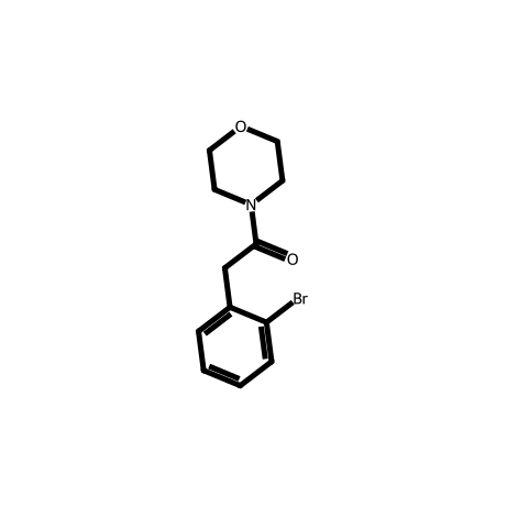 O=C(Cc1ccccc1Br)N1CCOCC1